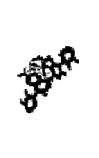 CCC1=Cc2c(-c3cccc(C)c3C)c(C)cc(C)c2[CH]1[Zr]([Cl])([Cl])([CH2]C)[CH]1C(CC)=Cc2c(-c3cccc(C)c3C)c(C)cc(C)c21